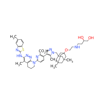 Cc1ccc2sc(Nc3nnc4c(c3C)CCCN4c3ccc(-c4cnn(CC56CC7(C)CC(C)(C5)CC(OCCNCC[C@@H](O)CO)(C7)C6)c4C)c(C(=O)O)n3)nc2c1